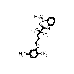 COc1ccccc1NC(=O)C(C)(C)CCCOc1cc(C)ccc1C